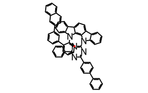 c1ccc(-c2ccc(-c3nc(-c4ccccc4)nc(-n4c5ccccc5c5ccc6c7ccccc7n(-c7ccccc7-c7cccc(-c8ccc9ccccc9c8)c7)c6c54)n3)cc2)cc1